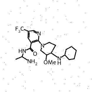 COC1CN(c2ncc(C(F)(F)F)cc2C(=O)NC(C)N)CCC1NC1CCCCC1